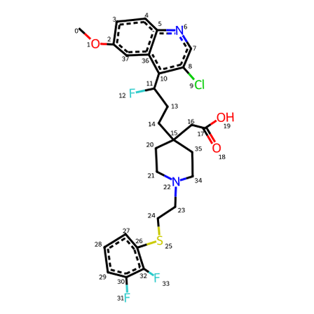 COc1ccc2ncc(Cl)c(C(F)CCC3(CC(=O)O)CCN(CCSc4cccc(F)c4F)CC3)c2c1